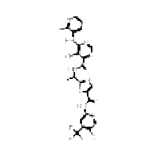 CC(NC(=O)c1ncnc(Nc2cccnc2F)c1Cl)c1ncc(C(=O)Nc2cc(C(F)(F)F)c(Cl)cn2)s1